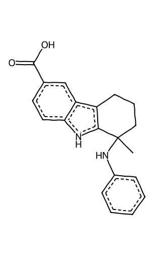 CC1(Nc2ccccc2)CCCc2c1[nH]c1ccc(C(=O)O)cc21